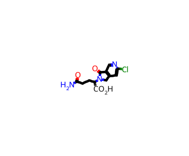 NC(=O)CCC(C(=O)O)N1Cc2cc(Cl)ncc2C1=O